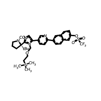 CC(C)(C)[C@]1(c2ncc(-c3ccc(-c4ccc5cc(OS(=O)(=O)C(F)(F)F)ccc5c4)nc3)n2COCC[Si](C)(C)C)CCCN1C(=O)O